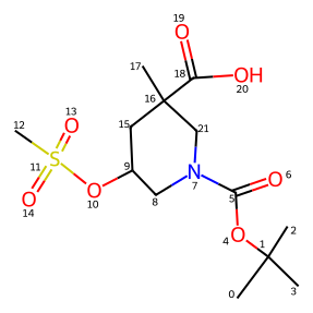 CC(C)(C)OC(=O)N1CC(OS(C)(=O)=O)CC(C)(C(=O)O)C1